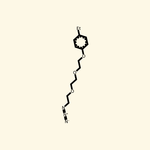 CCc1ccc(OCCOCCOCCN=[N+]=[N-])cc1